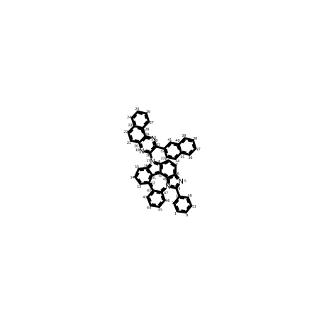 c1ccc(-c2nc3ccc4c5c6c(cccc6n4-c4nc6ccc7ccccc7c6nc4-c4ccc6ccccc6c4)c4ccccc4n2c35)cc1